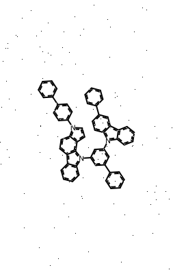 c1ccc(-c2ccc(-n3ccc4c3ccc3c5ccccc5n(-c5cc(-c6ccccc6)cc(-n6c7ccccc7c7cc(-c8ccccc8)ccc76)c5)c34)cc2)cc1